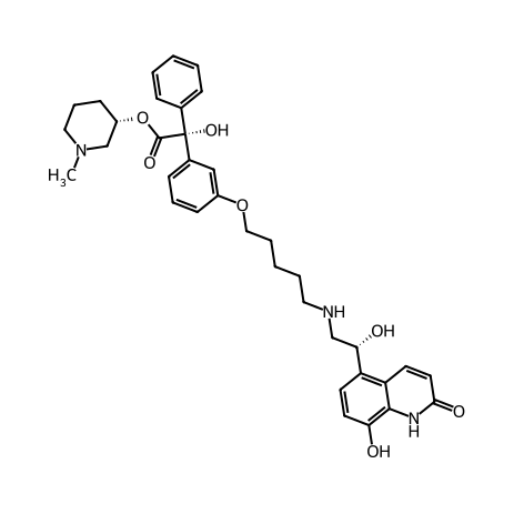 CN1CCC[C@H](OC(=O)[C@@](O)(c2ccccc2)c2cccc(OCCCCCNC[C@H](O)c3ccc(O)c4[nH]c(=O)ccc34)c2)C1